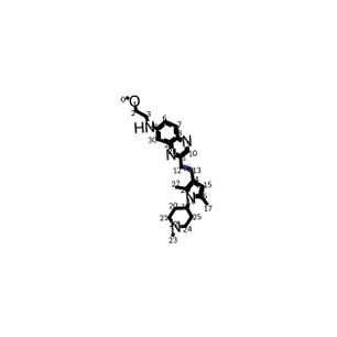 COCCNc1ccc2ncc(/C=C/c3cc(C)n(C4CCN(C)CC4)c3C)nc2c1